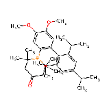 COc1cc(-c2c(C(C)C)cc(C(C)C)cc2C(C)C)c(P2C(C)(C)CC(=O)CC2(C)C)cc1OC